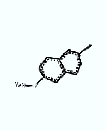 CNOc1ccc2cc(C)ccc2c1